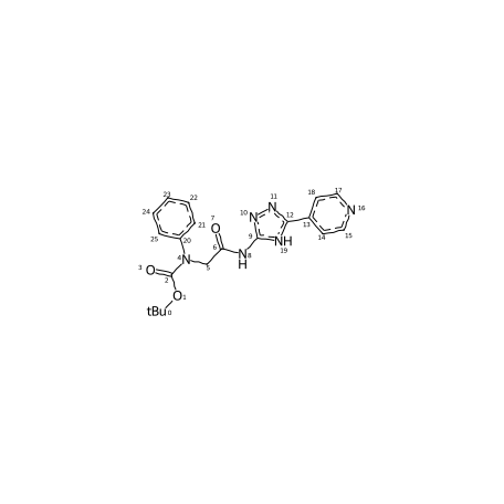 CC(C)(C)OC(=O)N(CC(=O)Nc1nnc(-c2ccncc2)[nH]1)c1ccccc1